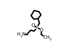 CCOP(=O)(CCCN)CC1CCCCC1